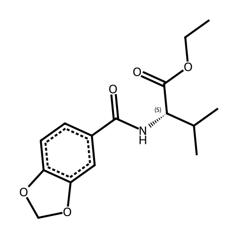 CCOC(=O)[C@@H](NC(=O)c1ccc2c(c1)OCO2)C(C)C